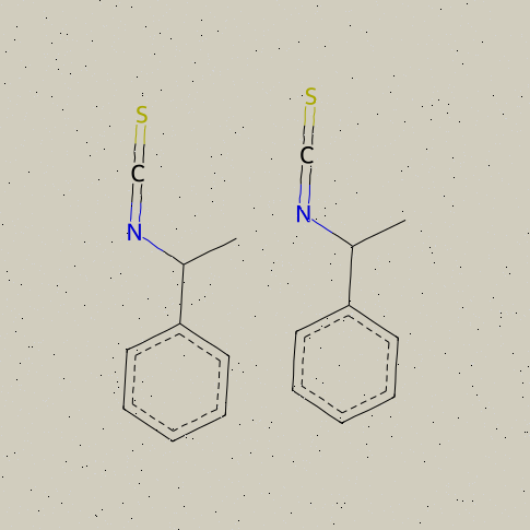 CC(N=C=S)c1ccccc1.CC(N=C=S)c1ccccc1